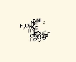 CON=C(C(=O)N[C@@H]1C(=O)N2C(C(=O)O)=C(OS(=O)(=O)C(F)(F)F)CC[C@H]12)c1nsc(N)n1